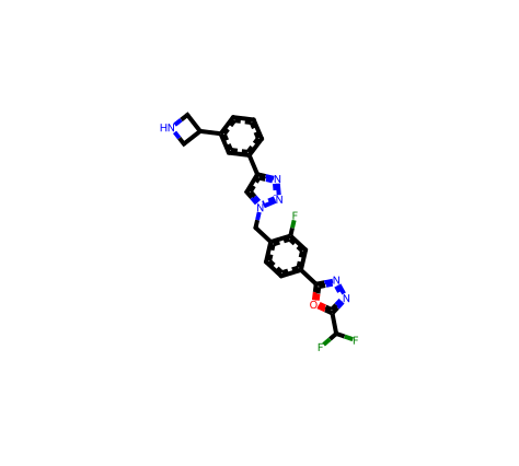 Fc1cc(-c2nnc(C(F)F)o2)ccc1Cn1cc(-c2cccc(C3CNC3)c2)nn1